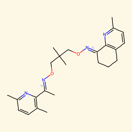 C/C(=N\OCC(C)(C)CO/N=C1\CCCc2ccc(C)nc21)c1nc(C)ccc1C